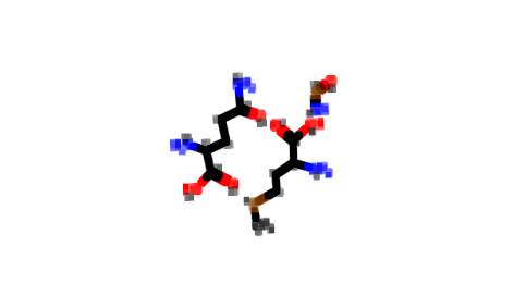 CSCCC(N)C(=O)O.N=S=O.NC(=O)CCC(N)C(=O)O